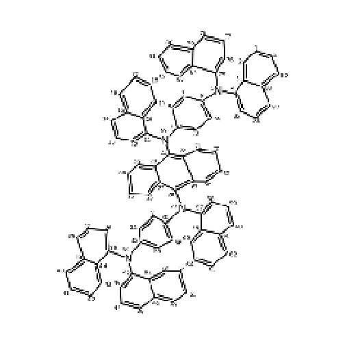 c1ccc2c(N(c3ccc(N(c4cccc5ccccc45)c4c5ccccc5c(N(c5ccc(N(c6cccc7ccccc67)c6cccc7ccccc67)cc5)c5cccc6ccccc56)c5ccccc45)cc3)c3cccc4ccccc34)cccc2c1